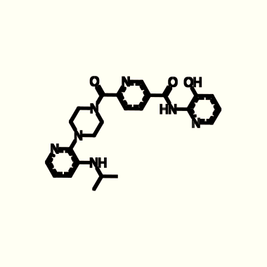 CC(C)Nc1cccnc1N1CCN(C(=O)c2ccc(C(=O)Nc3ncccc3O)cn2)CC1